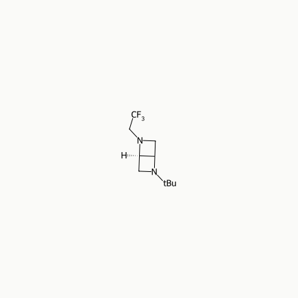 CC(C)(C)N1C[C@@H]2C1CN2CC(F)(F)F